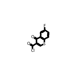 O=C(Cl)c1csc2ccc(F)cc2c1=O